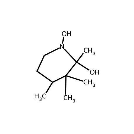 CC1CCN(O)C(C)(O)C1(C)C